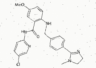 COc1ccc(NCc2ccc(C3=NCCN3C)cc2)c(C(=O)Nc2ccc(Cl)cn2)c1